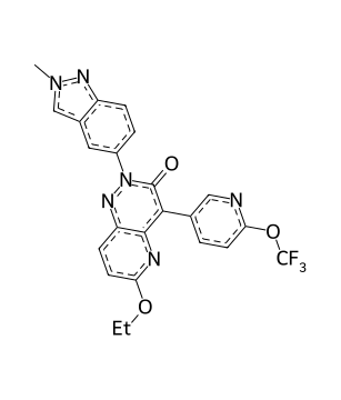 CCOc1ccc2nn(-c3ccc4nn(C)cc4c3)c(=O)c(-c3ccc(OC(F)(F)F)nc3)c2n1